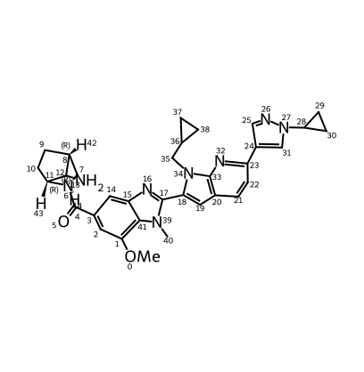 COc1cc(C(=O)N2C[C@H]3CC[C@@H]2[C@@H]3N)cc2nc(-c3cc4ccc(-c5cnn(C6CC6)c5)nc4n3CC3CC3)n(C)c12